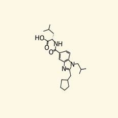 CC(C)C[C@H](NC(=O)c1ccc2c(c1)nc(CC1CCCC1)n2CC(C)C)C(=O)O